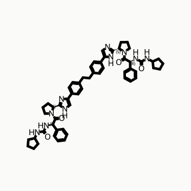 O=C(NC1CCCC1)N[C@@H](C(=O)N1CCC[C@H]1c1nc(-c2ccc(CCc3ccc(-c4cnc([C@@H]5CCCN5C(=O)[C@H](NC(=O)NC5CCCC5)c5ccccc5)[nH]4)cc3)cc2)c[nH]1)c1ccccc1